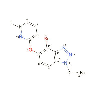 Cc1cccc(Oc2ccc3c(nnn3CC(C)(C)C)c2Br)n1